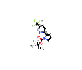 CC(C)(C)OC(=O)n1cccc1-c1ccc(C(F)(F)F)nn1